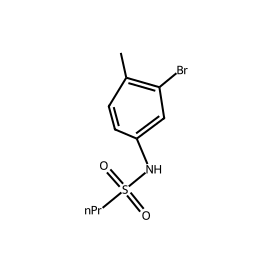 CCCS(=O)(=O)Nc1ccc(C)c(Br)c1